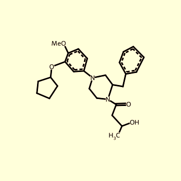 COc1ccc(N2CCN(C(=O)CC(C)O)C(Cc3ccccc3)C2)cc1OC1CCCC1